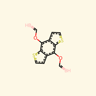 B=COc1c2ccsc2c(OC=B)c2ccsc12